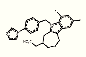 O=C(O)CC1CCCc2c(n(Cc3ccc(-n4ccnc4)cc3)c3c(F)cc(F)cc23)C1